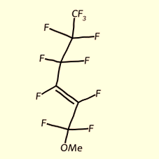 COC(F)(F)C(F)=C(F)C(F)(F)C(F)(F)C(F)(F)F